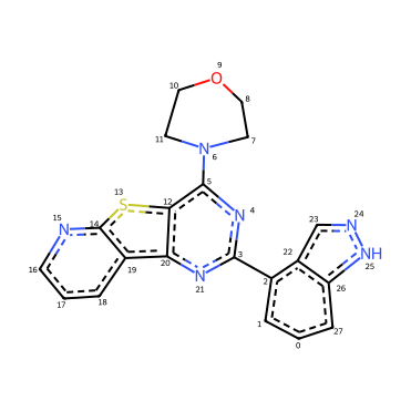 c1cc(-c2nc(N3CCOCC3)c3sc4ncccc4c3n2)c2cn[nH]c2c1